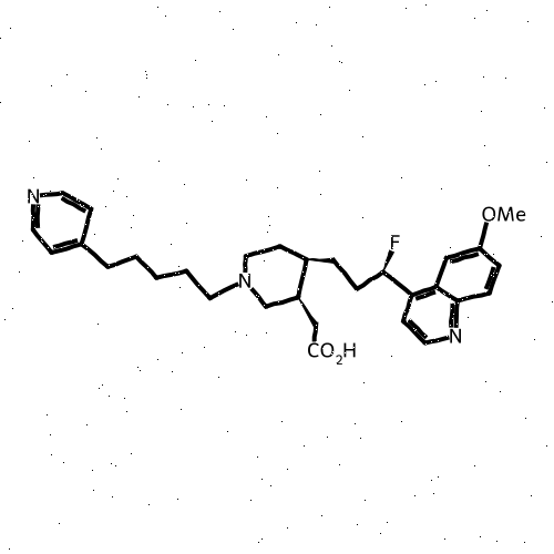 COc1ccc2nccc([C@H](F)CC[C@@H]3CCN(CCCCCc4ccncc4)C[C@@H]3CC(=O)O)c2c1